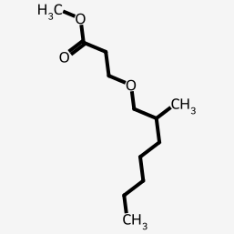 CCCCCC(C)COCCC(=O)OC